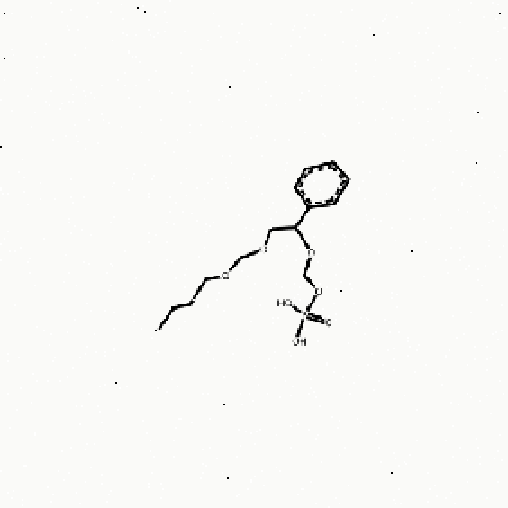 CCCCOCOCC(OCOP(=O)(O)O)c1ccccc1